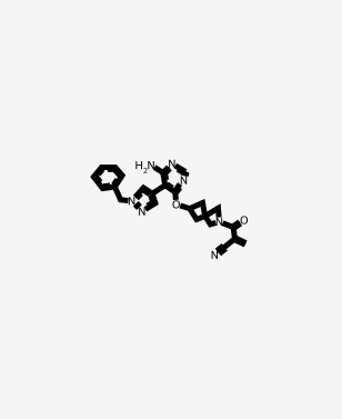 C=C(C#N)C(=O)N1CC2(CC(Oc3ncnc(N)c3-c3cnn(Cc4ccccc4)c3)C2)C1